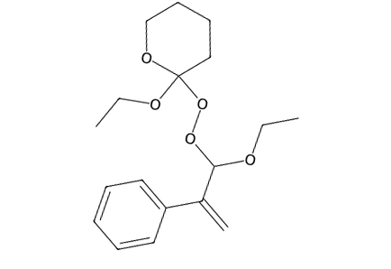 C=C(c1ccccc1)C(OCC)OOC1(OCC)CCCCO1